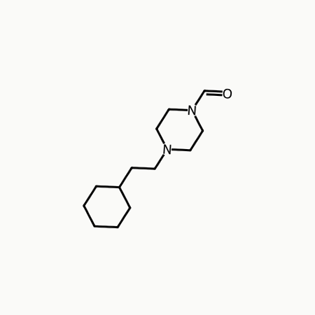 O=CN1CCN(CCC2CCCCC2)CC1